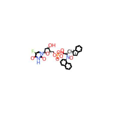 C[C@@H](C(=O)OP(=O)(O)OC[C@H]1O[C@@H](n2cc(F)c(=O)[nH]c2=O)C[C@@H]1O)N(OC1Cc2ccccc2C1)c1cccc2ccccc12